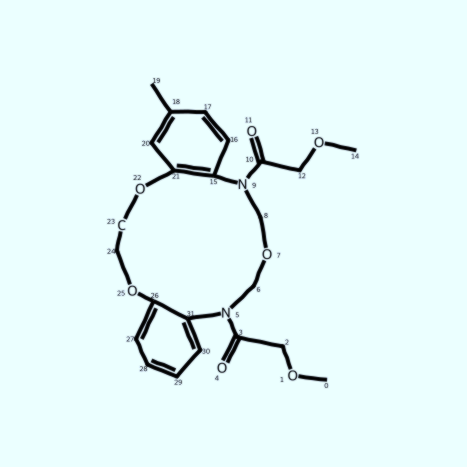 COCC(=O)N1COCN(C(=O)COC)c2ccc(C)cc2OCCOc2ccccc21